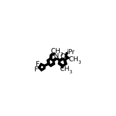 Cc1cc(-c2nc(C)cc3cc(C4CCC(F)(F)C4)ccc23)c2oc(C(C)C)c(C)c2c1